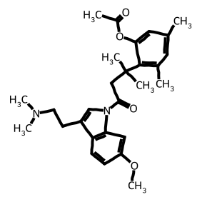 COc1ccc2c(CCN(C)C)cn(C(=O)CC(C)(C)c3c(C)cc(C)cc3OC(C)=O)c2c1